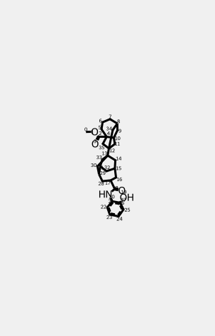 COC(=O)C12CCCC3CC1CC(C14CC5CC(C(=O)Nc6ccccc6O)CC(C1)C(C5)C4)(C3)C2